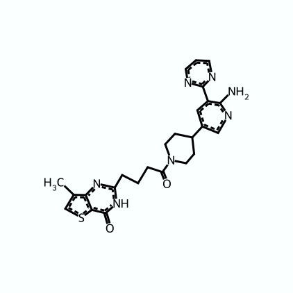 Cc1csc2c(=O)[nH]c(CCCC(=O)N3CCC(c4cnc(N)c(-c5ncccn5)c4)CC3)nc12